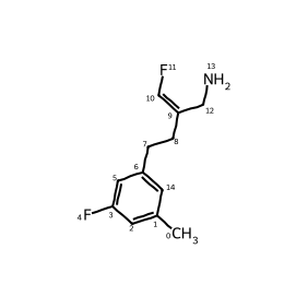 Cc1cc(F)cc(CCC(=CF)CN)c1